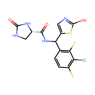 O=C1NC[C@@H](C(=O)NC(c2cnc(O)s2)c2ccc(F)c(Cl)c2F)N1